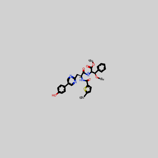 CC(C)(C)OC(=O)C(NC(=O)[C@H](Cc1ncc(-c2ccc(O)cc2)cn1)NC(=O)c1ccc(C(C)(C)C)s1)C(OC(C)(C)C)c1ccccc1